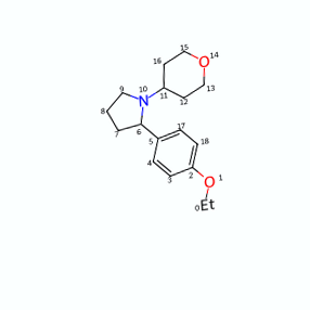 CCOc1ccc(C2CCCN2C2CCOCC2)cc1